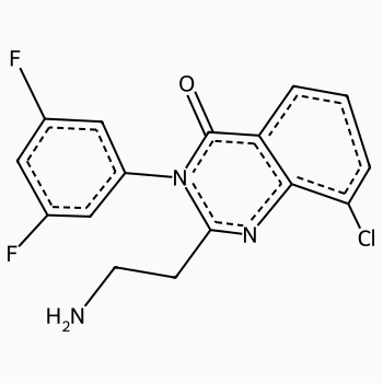 NCCc1nc2c(Cl)cccc2c(=O)n1-c1cc(F)cc(F)c1